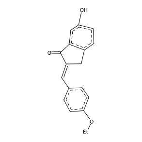 CCOc1ccc(/C=C2\Cc3ccc(O)cc3C2=O)cc1